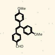 COc1ccc(C(=Cc2ccc(C=O)cc2)c2ccc(OC)cc2)cc1